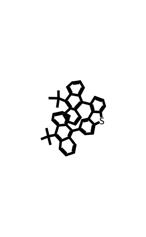 CC(C)(C)c1c2ccccc2c(-c2ccc3sc4cccc(-c5c6ccccc6c(C(C)(C)C)c6ccccc56)c4c3c2)c2ccccc12